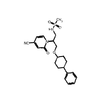 CS(=O)(=O)NCC(COC1CCC(c2ccccc2)CC1)n1ccc(C#N)cc1=O